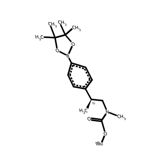 C[C@H](CN(C)C(=O)OC(C)(C)C)c1ccc(B2OC(C)(C)C(C)(C)O2)cc1